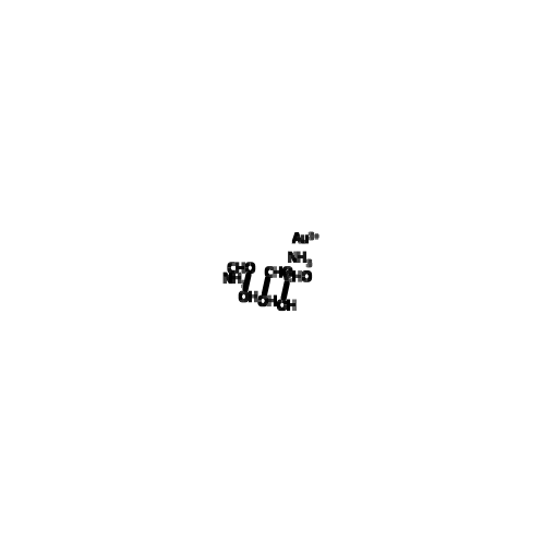 N.N.O=[C-]O.O=[C-]O.O=[C-]O.[Au+3]